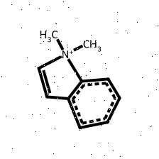 C[N+]1(C)C=Cc2ccccc21